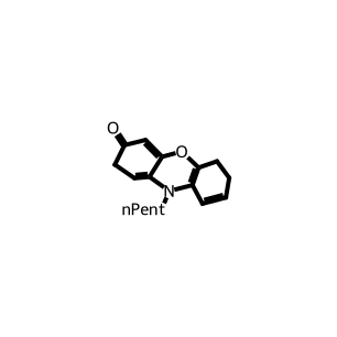 CCCCCN1C2=CCC(=O)C=C2OC2=C1C=CCC2